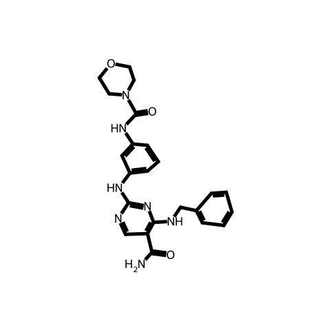 NC(=O)c1cnc(Nc2cccc(NC(=O)N3CCOCC3)c2)nc1NCc1ccccc1